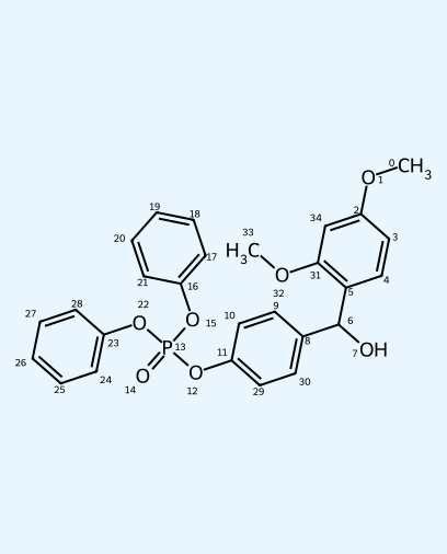 COc1ccc(C(O)c2ccc(OP(=O)(Oc3ccccc3)Oc3ccccc3)cc2)c(OC)c1